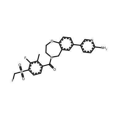 Cc1c(C(=O)N2CCOc3ccc(-c4ccc(N)nc4)cc3C2)ccc(S(=O)(=O)CF)c1F